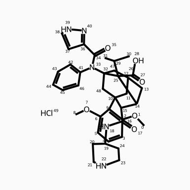 COc1cccc(OC)c1C12CC3CC(C1C(=O)NC1CCNCC1)C(C(=O)O)(C(C)C)C(N(C(=O)c1cc[nH]n1)c1ccccc1)(C3)C2.Cl